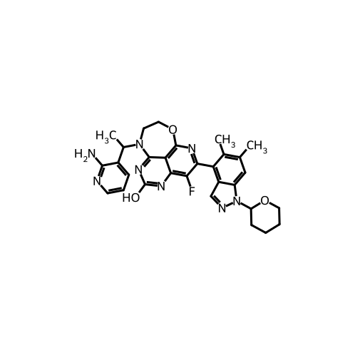 Cc1cc2c(cnn2C2CCCCO2)c(-c2nc3c4c(nc(O)nc4c2F)N(C(C)c2cccnc2N)CCO3)c1C